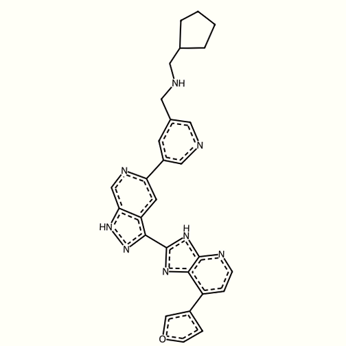 c1cc(-c2ccoc2)c2nc(-c3n[nH]c4cnc(-c5cncc(CNCC6CCCC6)c5)cc34)[nH]c2n1